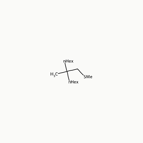 CCCCCCC(C)(CCCCCC)CSC